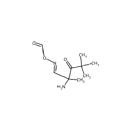 CC(C)(C)C(=O)C(C)(N)/C=N/OC=O